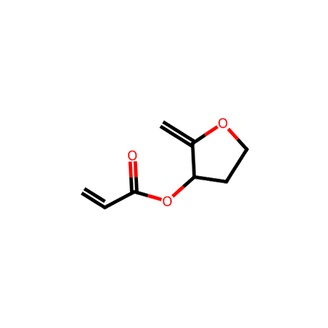 C=CC(=O)OC1CCOC1=C